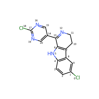 Clc1ccc2[nH]c3c(c2c1)CCN=C3c1cnc(Cl)nc1